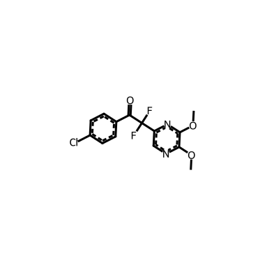 COc1ncc(C(F)(F)C(=O)c2ccc(Cl)cc2)nc1OC